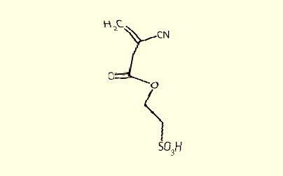 C=C(C#N)C(=O)OCCS(=O)(=O)O